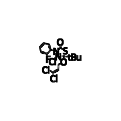 CC(C)(C)C1(OCC=C(Cl)Cl)SC(=O)N(c2ccccc2F)N1Cl